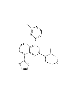 CC1COCCN1c1cc(-c2cccc(F)n2)c2ccnc(-c3ccn[nH]3)c2n1